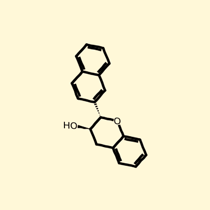 O[C@@H]1Cc2ccccc2O[C@H]1c1ccc2ccccc2c1